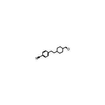 N#Cc1ccc(CCC2CCC(C=O)CC2)cc1